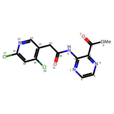 COC(=O)c1nccnc1NC(=O)Cc1cnc(Cl)cc1Cl